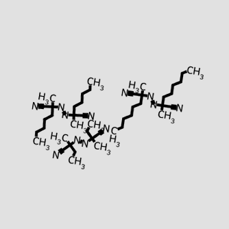 CCC(C)(C#N)/N=N/C(C)(C#N)CC.CCCCCC(C)(C#N)/N=N/C(C)(C#N)CCCCC.CCCCCCC(C)(C#N)/N=N/C(C)(C#N)CCCCCC